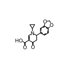 O=C(O)C1=CN(C2CC2)C(c2ccc3c(c2)OCO3)CC1=O